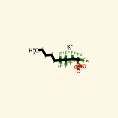 CCCCCC(F)(F)C(F)(F)C(F)(F)C(F)(F)S(=O)(=O)[O-].[K+]